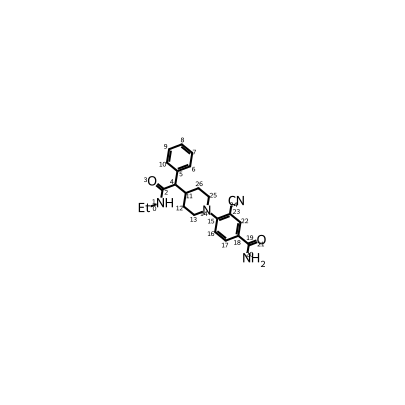 CCNC(=O)C(c1ccccc1)C1CCN(c2ccc(C(N)=O)cc2C#N)CC1